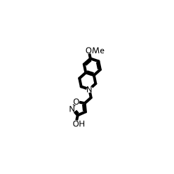 COc1ccc2c(c1)CCN(Cc1cc(O)no1)C2